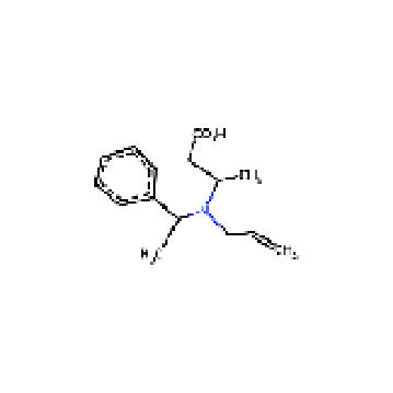 C=CCN(C(C)CC(=O)O)C(C)c1ccccc1